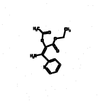 CCOC(=O)/C(OC(C)=O)=C(/N)c1ccccn1